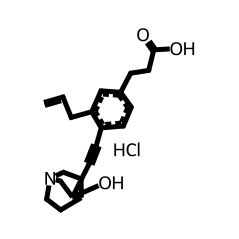 C=CCc1cc(CCC(=O)O)ccc1C#CC1(O)CN2CCC1CC2.Cl